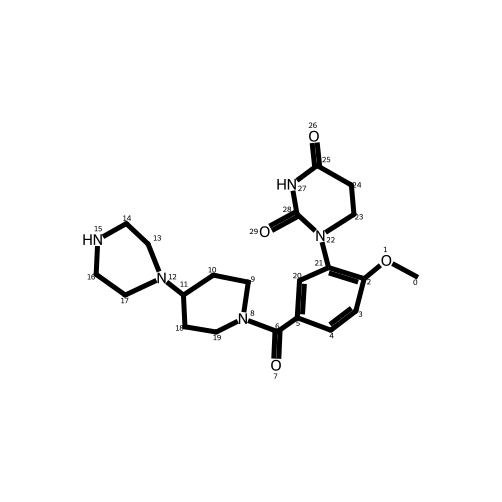 COc1ccc(C(=O)N2CCC(N3CCNCC3)CC2)cc1N1CCC(=O)NC1=O